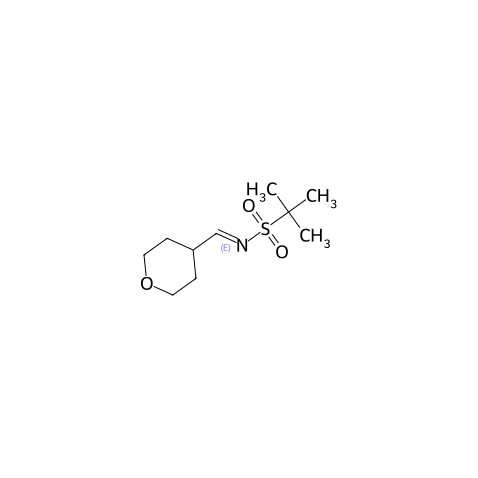 CC(C)(C)S(=O)(=O)/N=C/C1CCOCC1